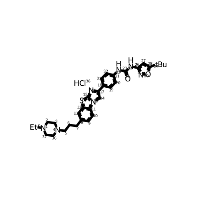 CCN1CCN(CCCc2ccc3c(c2)sc2nc(-c4ccc(NC(=O)Nc5cc(C(C)(C)C)on5)cc4)cn23)CC1.Cl